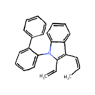 C=Cc1c(/C=C\C)c2ccccc2n1-c1ccccc1-c1ccccc1